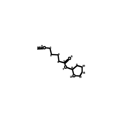 COCCCCC(=O)OC1CCCCO1